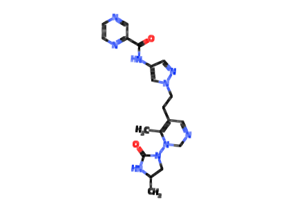 CC1=C(CCn2cc(NC(=O)c3cnccn3)cn2)C=NCN1N1CC(C)NC1=O